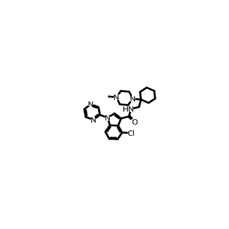 CN1CCN(C2(CNC(=O)c3cn(-c4cnccn4)c4cccc(Cl)c34)CCCCC2)CC1